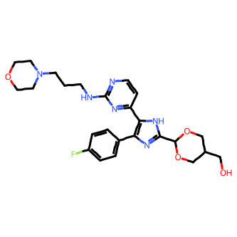 OCC1COC(c2nc(-c3ccc(F)cc3)c(-c3ccnc(NCCCN4CCOCC4)n3)[nH]2)OC1